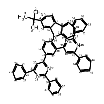 CC(C)(C)c1ccc2c3ccccc3n(-c3ccc(-c4cc(-c5ccccc5)nc(-c5ccccc5)n4)cc3-c3cc(-c4ccccc4)nc(-c4ccccc4)n3)c2c1